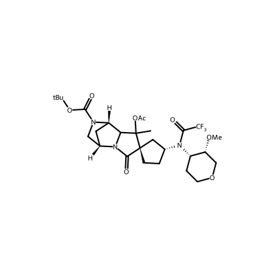 CO[C@@H]1COCC[C@@H]1N(C(=O)C(F)(F)F)[C@@H]1CC[C@@]2(C1)C(=O)N1C([C@@H]3C[C@H]1CN3C(=O)OC(C)(C)C)C2(C)OC(C)=O